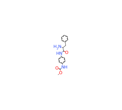 COC(=O)Nc1ccc(NC(=O)C(N)Cc2ccccc2)cc1